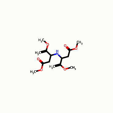 C=C(OC)C(CC(=O)OC)NC(CC(=O)OC)C(=C)OC